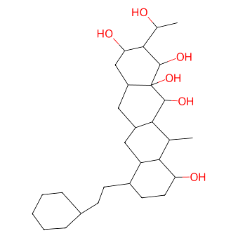 CC(O)C1C(O)CC2CC3CC4C(CCC5CCCCC5)CCC(O)C4C(C)C3C(O)C2(O)C1O